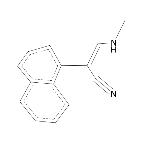 CNC=C(C#N)c1cccc2ccccc12